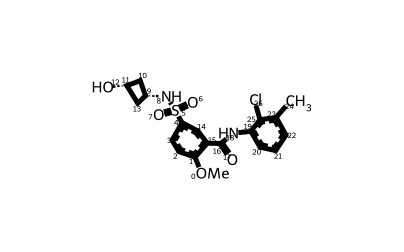 COc1ccc(S(=O)(=O)N[C@H]2C[C@@H](O)C2)cc1C(=O)Nc1cccc(C)c1Cl